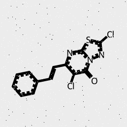 O=c1c(Cl)c(/C=C/c2ccccc2)nc2sc(Cl)nn12